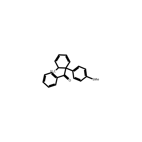 CSc1ccc(C2(C(=O)c3ccccc3)C=CC=CC2C)cc1